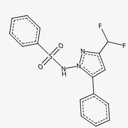 O=S(=O)(Nn1nc(C(F)F)cc1-c1ccccc1)c1ccccc1